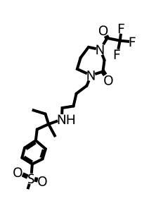 CCC(C)(Cc1ccc(S(C)(=O)=O)cc1)NCCCCN1CCCN(C(=O)C(F)(F)F)CC1=O